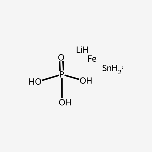 O=P(O)(O)O.[Fe].[LiH].[SnH2]